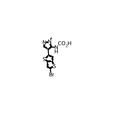 Cn1ncc(-c2cc3sc(Br)cc3s2)c1NC(=O)O